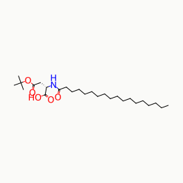 CCCCCCCCCCCCCCCCCC(=O)N[C@@H](CC(=O)OC(C)(C)C)C(=O)O